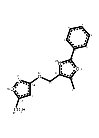 Cc1oc(-c2ccccc2)nc1COc1cc(C(=O)O)on1